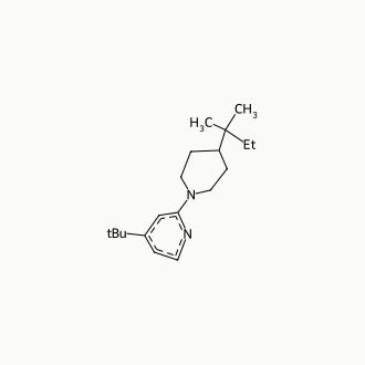 CCC(C)(C)C1CCN(c2cc(C(C)(C)C)ccn2)CC1